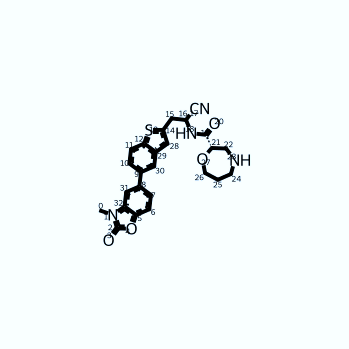 Cn1c(=O)oc2ccc(-c3ccc4sc(CC(C#N)NC(=O)[C@@H]5CNCCCO5)cc4c3)cc21